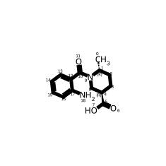 C[C@@H]1CC[C@@H](C(=O)O)CN1C(=O)c1ccccc1N